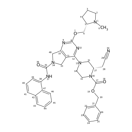 CN1CCC[C@H]1COc1nc2c(c(N3CCN(C(=O)OCc4ccccc4)[C@@H](CC#N)C3)n1)CN(C(=O)Nc1cccc3ccccc13)C2